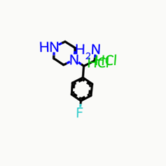 Cl.Cl.NCC(c1ccc(F)cc1)N1CCNCC1